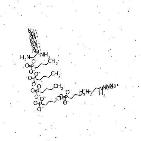 NCCN.NCCN.[CH2]CCCP(=O)([O-])[O-].[CH2]CCCP(=O)([O-])[O-].[CH2]CCCP(=O)([O-])[O-].[CH2]CCCP(=O)([O-])[O-].[CH2]CCCP(=O)([O-])[O-].[Na+].[Na+].[Na+].[Na+].[Na+].[Na+].[Na+].[Na+].[Na+].[Na+]